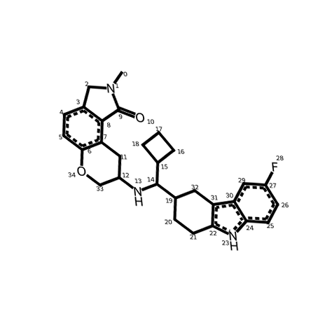 CN1Cc2ccc3c(c2C1=O)CC(NC(C1CCC1)C1CCc2[nH]c4ccc(F)cc4c2C1)CO3